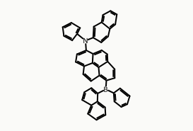 c1ccc(B(c2cccc3ccccc23)c2ccc3ccc4c(N(c5ccccc5)c5ccc6ccccc6c5)ccc5ccc2c3c54)cc1